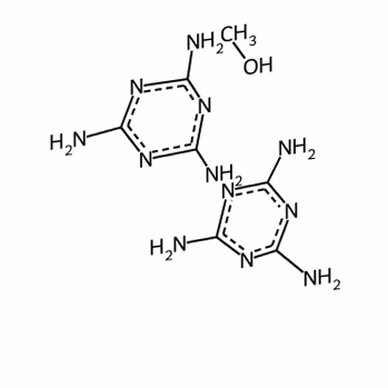 CO.Nc1nc(N)nc(N)n1.Nc1nc(N)nc(N)n1